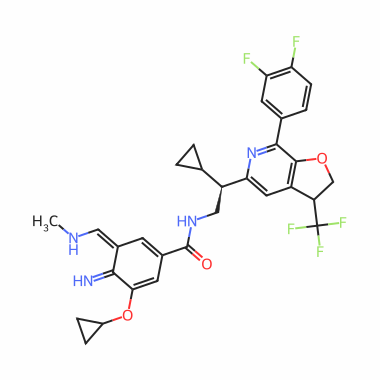 CN/C=C1/C=C(C(=O)NC[C@H](c2cc3c(c(-c4ccc(F)c(F)c4)n2)OCC3C(F)(F)F)C2CC2)C=C(OC2CC2)C1=N